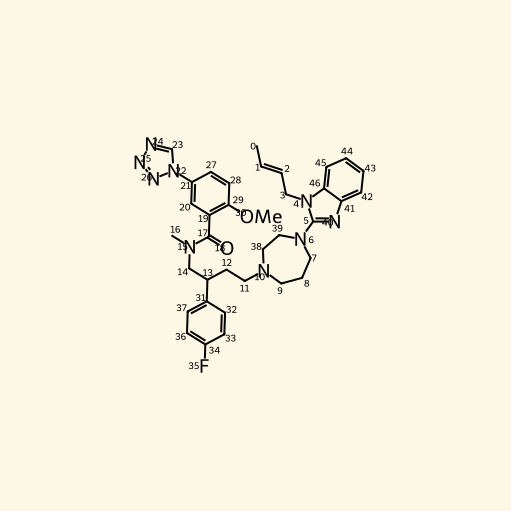 CC=CCn1c(N2CCCN(CCC(CN(C)C(=O)c3cc(-n4cnnn4)ccc3OC)c3ccc(F)cc3)CC2)nc2ccccc21